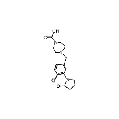 O=C(O)N1CCN(Cc2ccc(Cl)c(N3CCCC3=O)c2)CC1